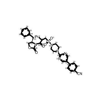 CC(C)C(CS(=O)(=O)N1CCN(c2ncc(-c3ccc(C#N)cc3)cn2)CC1)C(=O)N1C(=O)OC[C@H]1Cc1ccccc1